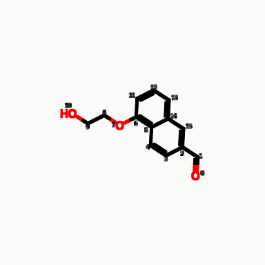 O=Cc1ccc2c(OCCO)cccc2c1